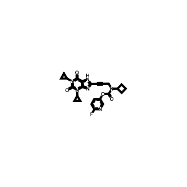 O=C(Oc1ccc(F)nc1)N(CC#Cc1nc2c([nH]1)c(=O)n(C1CC1)c(=O)n2C1CC1)C1CCC1